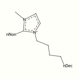 CCCCCCCCCCCCCC[n+]1ccn(C)c1CCCCCCCCC